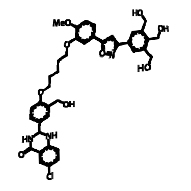 COc1ccc(-c2cc(-c3cc(CO)c(CO)c(CO)c3)no2)cc1OCCCCCOc1ccc(C2NC(=O)c3cc(Cl)ccc3N2)cc1CO